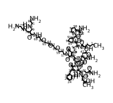 CCCCCC(=O)N[C@@H](CSC1=C(SC[C@H](NC(=O)[C@H](Cc2ccccc2)NC(=O)[C@H](CCC(N)=O)NC(=O)C[C@@H](C)O)C(=O)N[C@@H](CC(=O)O)C(N)=O)C(=O)N(CCCOCCOCCOCCCNC(=O)C(CNCCN)CNCCN)C1=O)C(=O)N1CCC[C@H]1C(=O)N1CCC[C@H]1C(N)=O